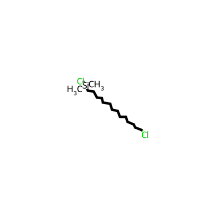 C[Si](C)(Cl)CCCCCCCCCCCCCCCl